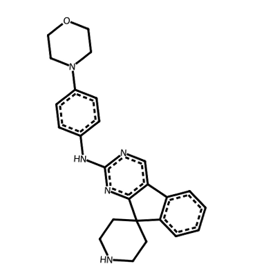 c1ccc2c(c1)-c1cnc(Nc3ccc(N4CCOCC4)cc3)nc1C21CCNCC1